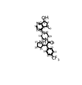 C[C@@H]1C[C@@H](O)c2ncnc(N3CCN(C(=O)C(c4ccc(C(F)(F)F)cc4)C4CCCN4)CC3)c21